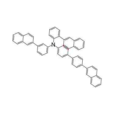 c1cc(-c2ccc3ccccc3c2)cc(N(c2ccc(-c3ccc(-c4ccc5ccccc5c4)cc3)cc2)c2ccccc2-c2ccc3ccccc3c2)c1